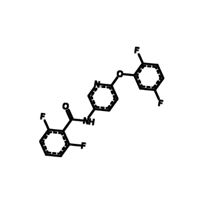 O=C(Nc1ccc(Oc2cc(F)ccc2F)nc1)c1c(F)cccc1F